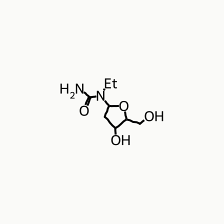 CCN(C(N)=O)C1CC(O)C(CO)O1